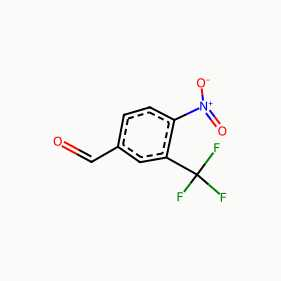 O=Cc1ccc([N+](=O)[O-])c(C(F)(F)F)c1